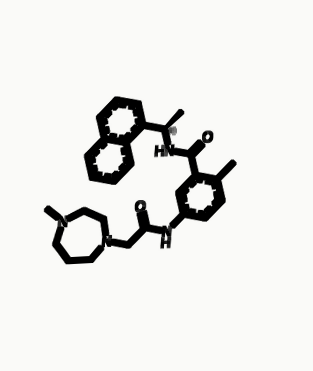 Cc1ccc(NC(=O)CN2CCCN(C)CC2)cc1C(=O)N[C@H](C)c1cccc2ccccc12